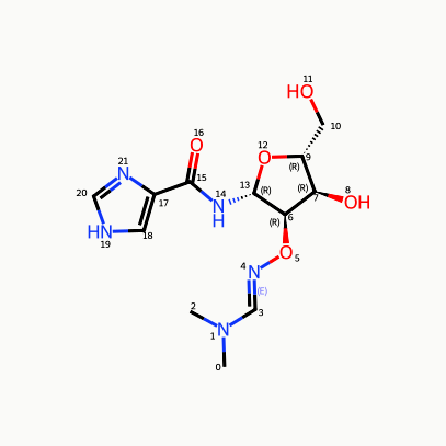 CN(C)/C=N/O[C@@H]1[C@H](O)[C@@H](CO)O[C@H]1NC(=O)c1c[nH]cn1